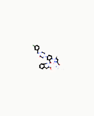 CCCCN(CCCC)C(=O)c1cc(C)n(-c2ccc(N3CCN(Cc4cccc(Cl)c4)C(=O)C3)cc2C(=O)N2Cc3ccccc3C[C@H]2CO)n1